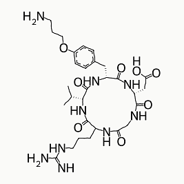 CC(C)[C@H]1NC(=O)C(CCCNC(=N)N)NC(=O)CNC(=O)[C@@H](CC(=O)O)NC(=O)[C@@H](Cc2ccc(OCCCN)cc2)NC1=O